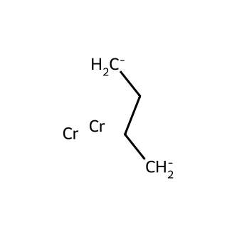 [CH2-]CC[CH2-].[Cr].[Cr]